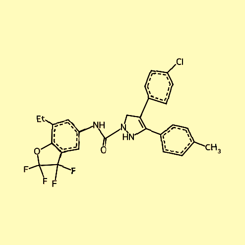 CCc1cc(NC(=O)N2CC(c3ccc(Cl)cc3)=C(c3ccc(C)cc3)N2)cc2c1OC(F)(F)C2(F)F